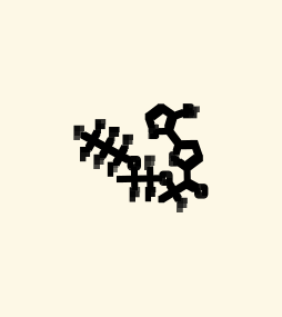 CC(F)(OC(F)(F)C(C)(F)OC(F)(F)C(F)(F)C(F)(F)F)C(=O)c1ccc(-c2sccc2Br)s1